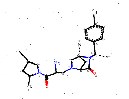 CC1CC(C#N)N(C(=O)C(N)CN2C[C@@H]3CC2C(=O)N3[C@@H](C)c2ccc(C#N)cc2)C1